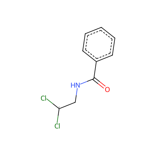 O=C(NC[C](Cl)Cl)c1ccccc1